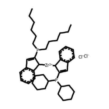 CCCCCCP(CCCCCC)C1=Cc2ccccc2[CH]1[Zr+2][CH]1C(P(C2CCCCC2)C2CCCCC2)=Cc2ccccc21.[Cl-].[Cl-]